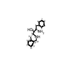 N[C@@H](Cc1ccccc1)[C@H](O)[C@H]1Cc2ccccc2CN1